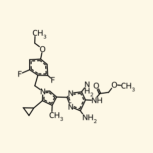 CCOc1cc(F)c(Cn2cc(-c3nc(N)c(NC(=O)COC)c(N)n3)c(C)c2C2CC2)c(F)c1